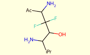 CC(=O)C(N)C(F)(F)C(O)C(N)C(C)C